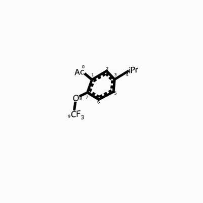 CC(=O)c1cc(C(C)C)ccc1OC(F)(F)F